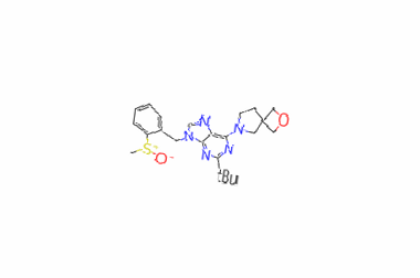 C[S+]([O-])c1ccccc1Cn1cnc2c(N3CCC4(COC4)C3)nc(C(C)(C)C)nc21